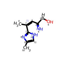 C/C(=C/C(=N)BO)c1nc(C)c[nH]1